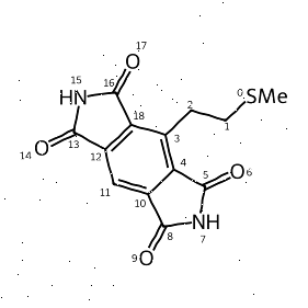 CSCCc1c2c(=O)[nH]c(=O)c2cc2c(=O)[nH]c(=O)c12